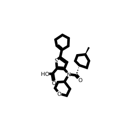 C[C@H]1CC[C@H](C(=O)N(c2cc(C3=CCCCC3)sc2C(=O)O)C2CCOCC2)CC1